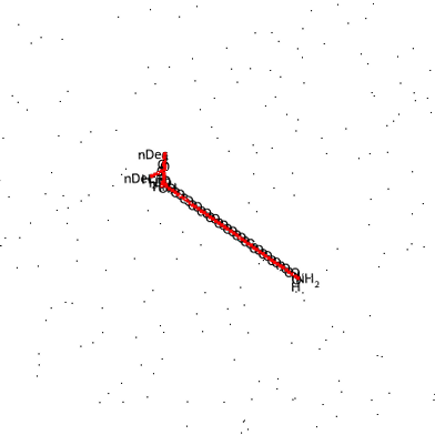 CCCCCCCCCCCCCCCC(=O)OCC[C@@H](CSC[C@H](N)C(=O)N[C@@H](CO)C(=O)NCCOCCOCCOCCOCCOCCOCCOCCOCCOCCOCCOCCOCCOCCOCCOCCOCCOCCOCCOCCOCCOCCOCCOCCOCCOCCOCCOCCOCCC(=O)NCC(N)=O)OC(=O)CCCCCCCCCCCCCCC